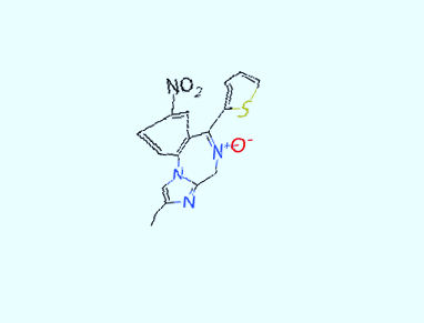 Cc1cn2c(n1)C[N+]([O-])=C(c1cccs1)c1cc([N+](=O)[O-])ccc1-2